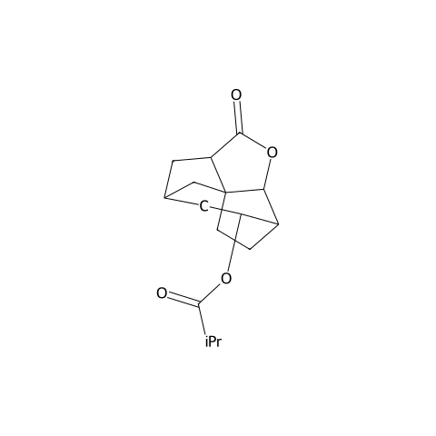 CC(C)C(=O)OC1CC2CC3C(=O)OC4C1CCC34C2